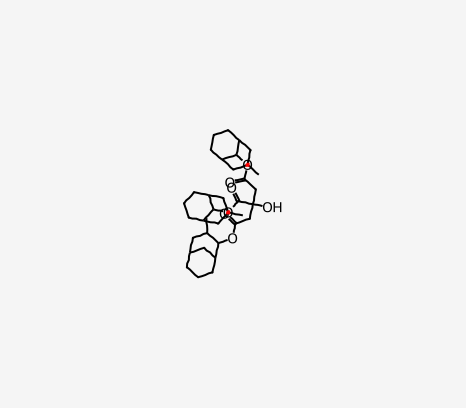 CC1CC2CCCC(C1)C2OC(=O)CC(O)(CC(=O)OC1C(C)CC2CCCC1C2)C(=O)OC1C2CCCC1CC(C)C2